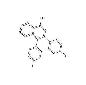 Cc1ccc(-c2c(-c3ccc(F)cc3)cc(O)c3ncncc23)cc1